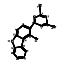 Brc1nc(Br)nc(-c2ccc3oc4ccccc4c3c2Br)n1